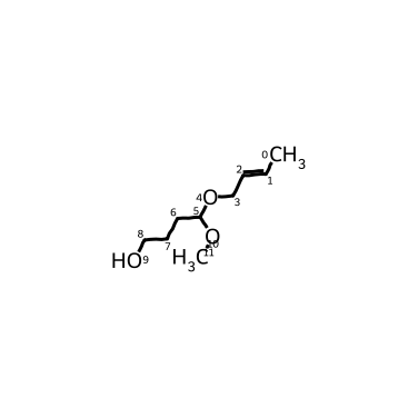 CC=CCOC(CCCO)OC